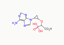 Nc1ncnc2c1ncn2C1CC1OC(C(=O)O)P(=O)(O)O